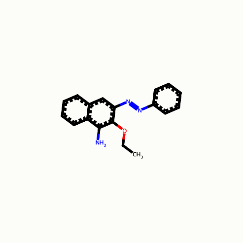 CCOc1c(N=Nc2ccccc2)cc2ccccc2c1N